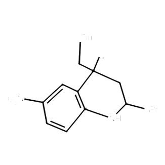 CCCC1CC(C)(CC(C)(C)C)c2cc([N+](=O)[O-])ccc2N1